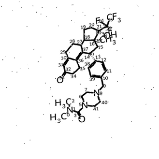 CN(C)C(=O)N1CCN(Cc2ccc([C@H]3C[C@@]4(C)C(CC[C@@]4(O)C(F)(F)C(F)(F)F)C4CCC5=CC(=O)CCC5=C43)cc2)CC1